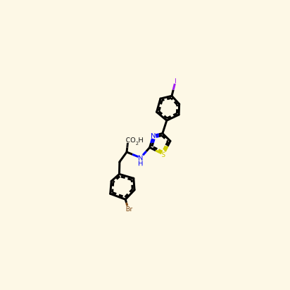 O=C(O)C(Cc1ccc(Br)cc1)Nc1nc(-c2ccc(I)cc2)cs1